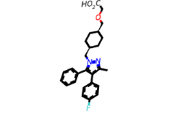 Cc1nn(C[C@H]2CC[C@@H](COCC(=O)O)CC2)c(-c2ccccc2)c1-c1ccc(F)cc1